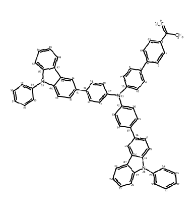 C=C(C)c1ccc(-c2ccc(N(c3ccc(-c4ccc5c(c4)c4ccccc4n5-c4ccccc4)cc3)c3ccc(-c4ccc5c(c4)c4ccccc4n5-c4ccccc4)cc3)cc2)cc1